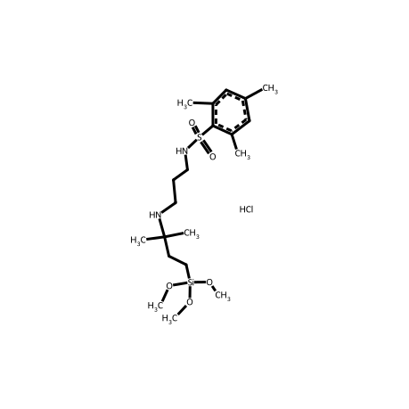 CO[Si](CCC(C)(C)NCCCNS(=O)(=O)c1c(C)cc(C)cc1C)(OC)OC.Cl